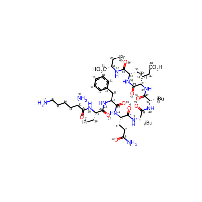 CC[C@H](C)[C@H](NC(=O)[C@H](CCC(N)=O)NC(=O)[C@H](Cc1ccccc1)NC(=O)[C@H](CC(C)C)NC(=O)[C@@H](N)CCCCN)C(=O)N[C@H](C(=O)N[C@@H](CCC(=O)O)C(=O)N[C@@H](CC(C)C)C(=O)N[C@@H](CC(C)C)C(=O)O)[C@@H](C)CC